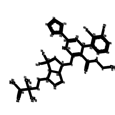 CCOC(=O)C1=C(CN2CC(F)(F)C3C2CON3CCC(C)(C)C(=O)O)NC(c2nccs2)=NC1c1cccc(F)c1F